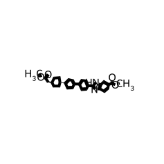 COC(=O)C[C@H]1CC[C@H](c2ccc(-c3ccc(-c4nc5ccc(C(=O)OC)cc5[nH]4)cc3)cc2)CC1